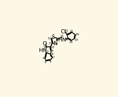 O=c1[nH]c2ccccc2cc1-c1csc(CNc2ccccc2Cl)n1